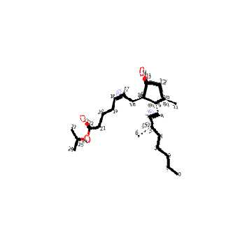 CCCCC[C@H](C)/C=C/[C@H]1[C@H](C)CC(=O)[C@@H]1C/C=C\CCCC(=O)OC(C)C